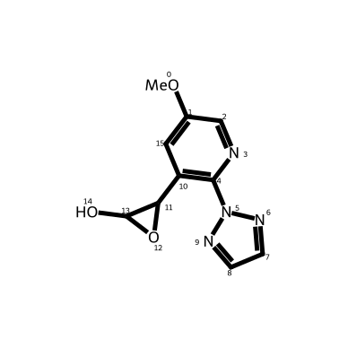 COc1cnc(-n2nccn2)c(C2OC2O)c1